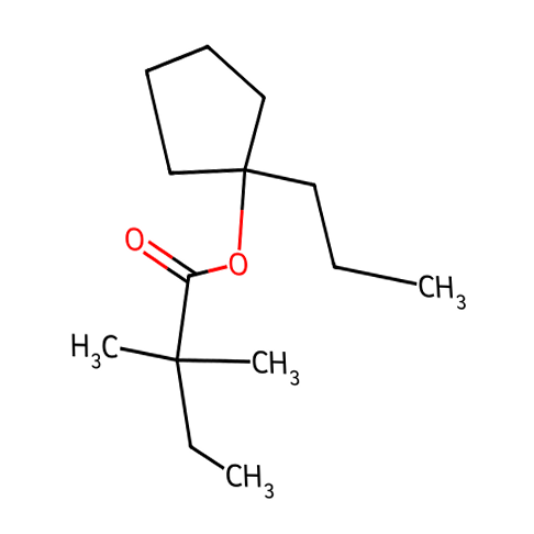 CCCC1(OC(=O)C(C)(C)CC)CCCC1